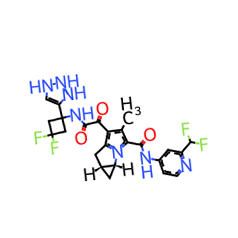 Cc1c(C(=O)C(=O)NC2(C3=CNNN3)CC(F)(F)C2)c2n(c1C(=O)Nc1ccnc(C(F)F)c1)[C@@H]1C[C@@H]1C2